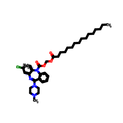 C=C(Cl)/C=C1/N=C(N2CCN(C)CC2)c2ccccc2N(C(=O)OCOC(=O)CCCCCCCCCCCCCCC)/C1=C/C